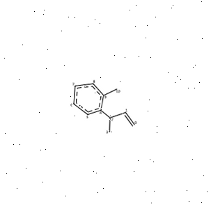 C=CC(C)c1ccccc1C